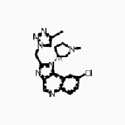 Cc1cn(Cc2nc3cnc4ccc(Cl)cc4c3n2[C@@H]2CCN(C)C2)nn1